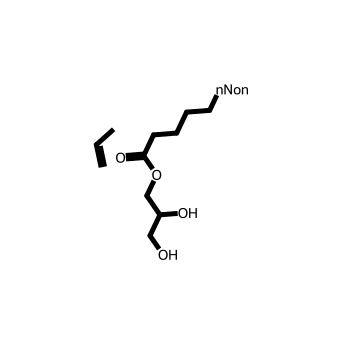 C=CC.CCCCCCCCCCCCCC(=O)OCC(O)CO